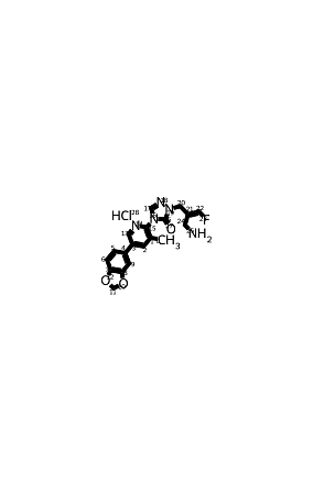 Cc1cc(-c2ccc3c(c2)OCO3)cnc1-n1cnn(C/C(=C/F)CN)c1=O.Cl